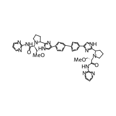 COC[C@@H](C(=O)Nc1ncccn1)N1CCCC1c1nc(-c2ccc(-c3ccc(-c4c[nH]c(C5CCCN5[C@@H](COC)C(=O)Nc5ncccn5)n4)cc3)cc2)c[nH]1